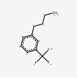 CCCCc1[c]c(C(F)(F)F)ccc1